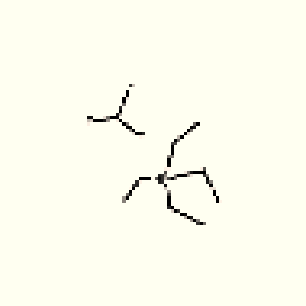 CC[PH](CC)(CC)CC.FC(F)F